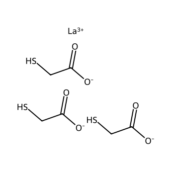 O=C([O-])CS.O=C([O-])CS.O=C([O-])CS.[La+3]